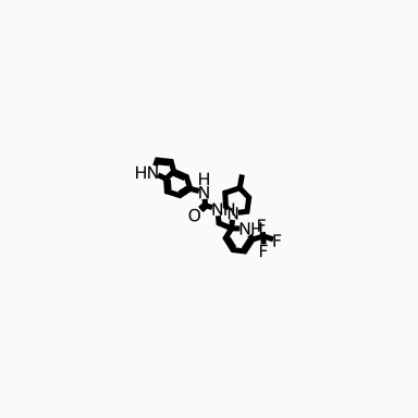 CC1CCN(C2(CNC(=O)Nc3ccc4[nH]ccc4c3)C=CC=C(C(F)(F)F)N2)CC1